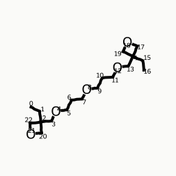 CCC1(COCCCOCCCOCC2(CC)COC2)COC1